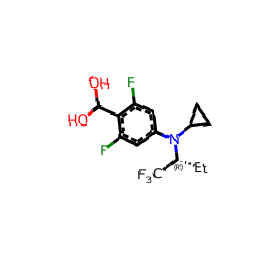 CC[C@@H](N(c1cc(F)c(C(O)O)c(F)c1)C1CC1)C(F)(F)F